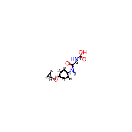 CN(C(=O)CNC(=O)O)c1ccc(OC2CC2)cc1